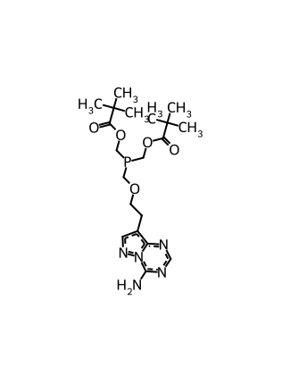 CC(C)(C)C(=O)OCP(COCCc1cnn2c(N)ncnc12)COC(=O)C(C)(C)C